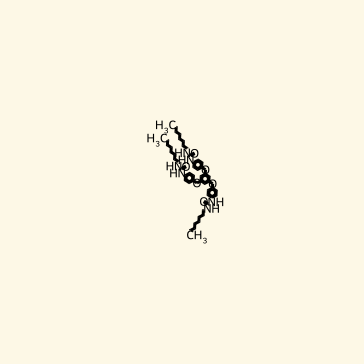 CCCCCCCCNC(=O)Nc1ccc(Oc2cc(Oc3ccc(NC(=O)NCCCCCCCC)cc3)cc(Oc3ccc(NC(=O)NCCCCCCCC)cc3)c2)cc1